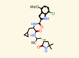 COc1ccc(Cl)c2[nH]c(C(=O)NC(CC3CC3)C(=O)NC(C#N)C[C@@H]3CC(C)(C)NC3=O)cc12